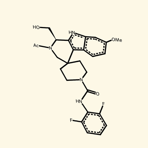 COc1ccc2c3c([nH]c2c1)[C@H](CO)N(C(C)=O)CC31CCN(C(=O)Nc2c(F)cccc2F)CC1